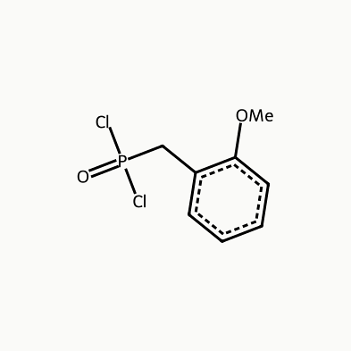 COc1ccccc1CP(=O)(Cl)Cl